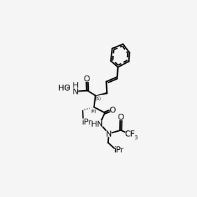 CC(C)C[C@@H](C(=O)NN(CC(C)C)C(=O)C(F)(F)F)[C@H](CC=Cc1ccccc1)C(=O)NO